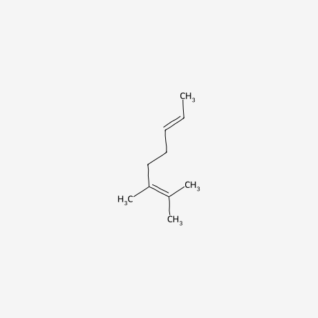 CC=CCCC(C)=C(C)C